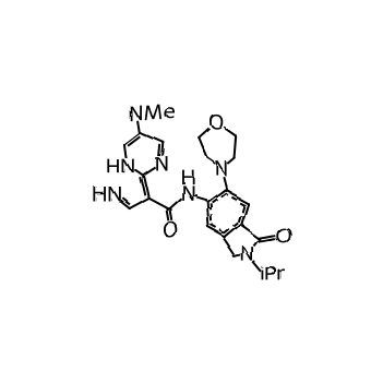 CNC1=CN/C(=C(\C=N)C(=O)Nc2cc3c(cc2N2CCOCC2)C(=O)N(C(C)C)C3)N=C1